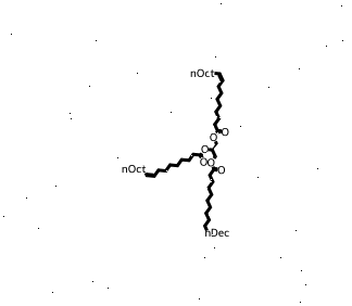 CCCCCCCC/C=C\CCCCCCCC(=O)OC[C@@H](COC(=O)CCCCCCCCCCCCCCCCCCC)OC(=O)CCCCCCC/C=C\CCCCCCCC